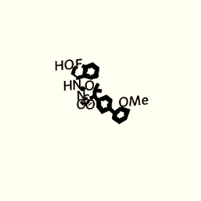 COc1ccccc1-c1ccc(C2C(C)(C)OC(N[C@@H](CCO)c3ccccc3F)=NS2(=O)=O)cc1